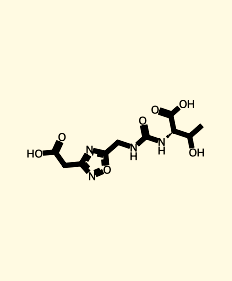 CC(O)[C@H](NC(=O)NCc1nc(CC(=O)O)no1)C(=O)O